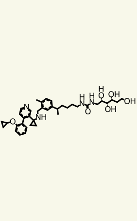 Cc1ccc(C(C)CCCCNC(=O)NC[C@H](O)[C@@H](O)[C@H](O)CCO)cc1CNC1(c2cnccc2-c2ccccc2OC2CC2)CC1